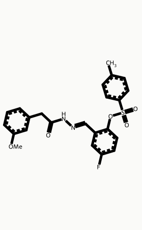 COc1cccc(CC(=O)NN=Cc2cc(F)ccc2OS(=O)(=O)c2ccc(C)cc2)c1